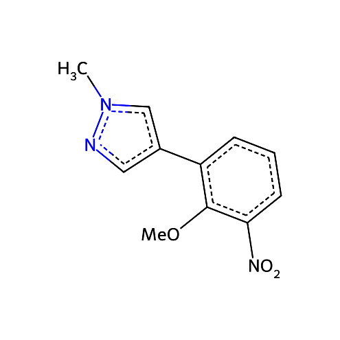 COc1c(-c2cnn(C)c2)cccc1[N+](=O)[O-]